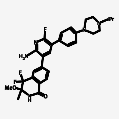 COC1(C)NC(=O)c2ccc(-c3cc(-c4ccc(N5CCN(C(C)C)CC5)cc4)c(F)nc3N)cc2C1(F)F